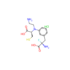 Cl.NCCN(c1cccc(C[C@@](N)(F)C(=O)O)c1)[C@@H](CS)C(=O)O